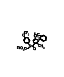 CCOC(=O)CN(C(=O)c1cc(C)n(-c2ccccc2C(F)(F)F)c1C)c1ccc(OC(F)(F)F)cc1